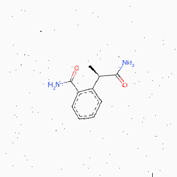 C[C@@H](C(N)=O)c1ccccc1C(N)=O